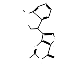 COc1ccccc1C(CO)c1c[nH]c2c(=O)[nH]c(N)nc12